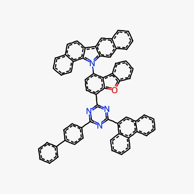 c1ccc(-c2ccc(-c3nc(-c4cc5ccccc5c5ccccc45)nc(-c4ccc(-n5c6cc7ccccc7cc6c6ccc7ccccc7c65)c5c4oc4ccccc45)n3)cc2)cc1